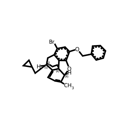 CC1=CC=C2[C@@H]3Cc4c(Br)cc(OCc5ccccc5)c5c4[C@]2(CCN3CC2CC2)[C@@H]1O5